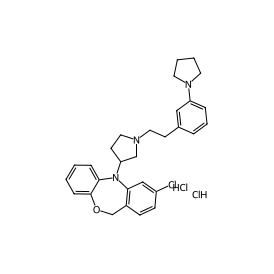 Cl.Cl.Clc1ccc2c(c1)N(C1CCN(CCc3cccc(N4CCCC4)c3)C1)c1ccccc1OC2